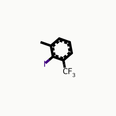 Cc1cccc(C(F)(F)F)c1I